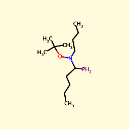 CCCCC(P)N(CCCC)OC(C)(C)C